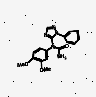 COc1ccc(N(C(N)=O)c2ncnn2-c2ccccc2)cc1OC